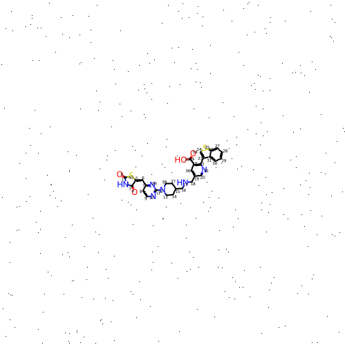 O=C1NC(=O)/C(=C\c2ccnc(N3CCC(CNCc4cnc(-c5csc6ccccc56)c(C(=O)O)c4)CC3)n2)S1